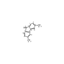 FC(F)(F)c1cnc2[nH]c3ccc(C(F)(F)F)nc3c2c1